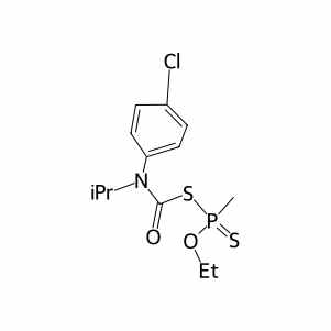 CCOP(C)(=S)SC(=O)N(c1ccc(Cl)cc1)C(C)C